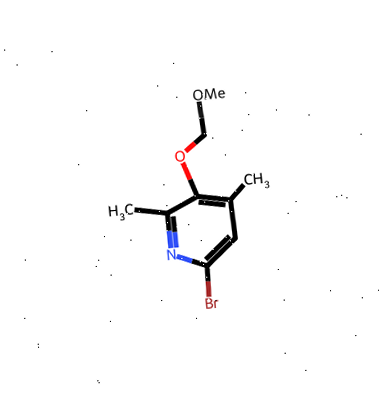 COCOc1c(C)cc(Br)nc1C